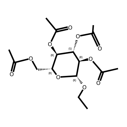 CCO[C@@H]1O[C@H](COC(C)=O)[C@@H](OC(C)=O)[C@H](OC(C)=O)[C@H]1OC(C)=O